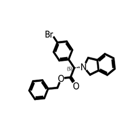 O=C(OCc1ccccc1)[C@H](c1ccc(Br)cc1)N1Cc2ccccc2C1